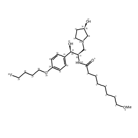 COCCCCCCCC(=O)N[C@H](CN1CC[C@@H](O)C1)[C@H](O)c1ccc(OCCCCF)cc1